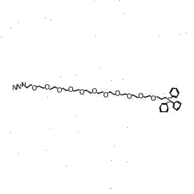 [N-]=[N+]=NCCOCCOCCOCCOCCOCCOCCOCCOCCOCCOCCOCCCS(c1ccccc1)(c1ccccc1)c1ccccc1